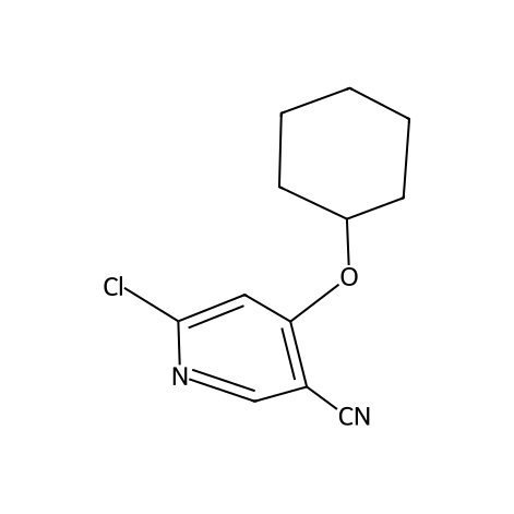 N#Cc1cnc(Cl)cc1OC1CCCCC1